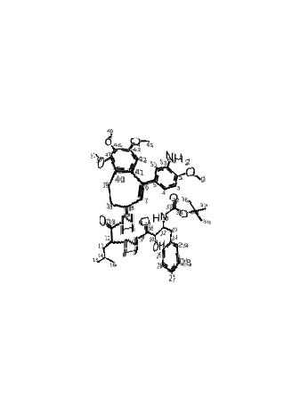 COc1ccc(C2=CC(NC(=O)C(CC(C)C)NC(=O)C(O)C(Cc3ccccc3)NC(=O)OC(C)(C)C)CCc3c2cc(OC)c(OC)c3OC)cc1N